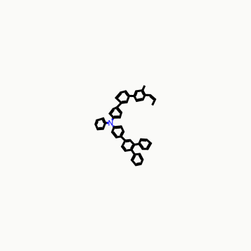 C/C=C\c1ccc(-c2cccc(-c3ccc(N(c4ccccc4)c4ccc(-c5ccc(-c6ccccc6)c(-c6ccccc6)c5)cc4)cc3)c2)cc1C